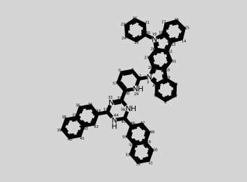 C1=CC(n2c3ccccc3c3cc4c5ccccc5n(-c5ccccc5)c4cc32)NC(C2=NC(c3ccc4ccccc4c3)NC(c3ccc4ccccc4c3)N2)=C1